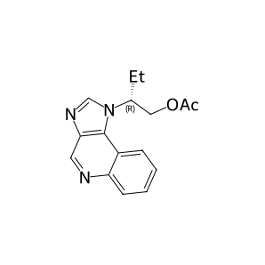 CC[C@H](COC(C)=O)n1cnc2cnc3ccccc3c21